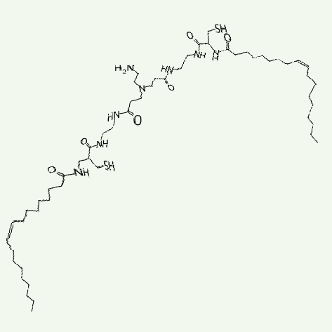 CCCCCCCC/C=C\CCCCCCCC(=O)NCC(CS)C(=O)NCCNC(=O)CCN(CCN)CCC(=O)NCCNC(=O)C(CS)NC(=O)CCCCCCC/C=C\CCCCCCCC